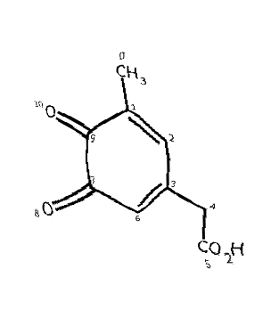 CC1=CC(CC(=O)O)=CC(=O)C1=O